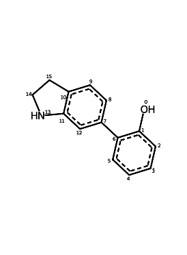 Oc1c[c]ccc1-c1ccc2c(c1)NCC2